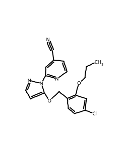 CCCOc1cc(Cl)ccc1COc1ccnn1-c1cc(C#N)ccn1